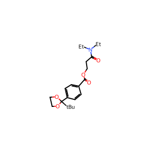 CCN(CC)C(=O)CCOC(=O)c1ccc(C2(C(C)(C)C)OCCO2)cc1